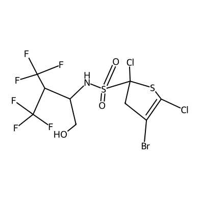 O=S(=O)(NC(CO)C(C(F)(F)F)C(F)(F)F)C1(Cl)CC(Br)=C(Cl)S1